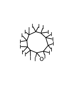 [O]C1(I)C(I)(I)C(I)(I)C(I)(I)C(I)(I)C(I)(I)C(I)(I)C(I)(I)C(I)(I)C1(I)I